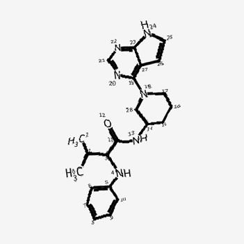 CC(C)C(Nc1ccccc1)C(=O)NC1CCCN(c2ncnc3[nH]ccc23)C1